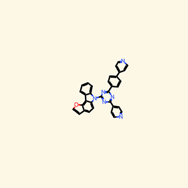 c1ccc2c(c1)c1c3occc3ccc1n2-c1nc(-c2ccncc2)nc(-c2ccc(-c3ccncc3)cc2)n1